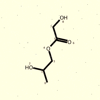 CC(O)COC(=O)CO